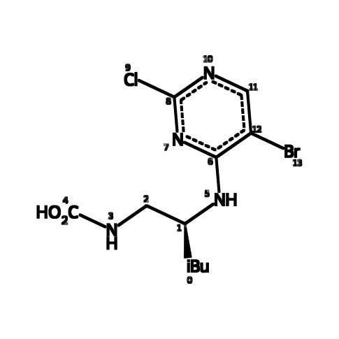 CCC(C)[C@@H](CNC(=O)O)Nc1nc(Cl)ncc1Br